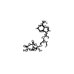 C[C@@H](O[C@@H](CF)COP(O)(=S)OP(=O)(O)OP(=O)(O)O)n1cnc2c(N)ncnc21